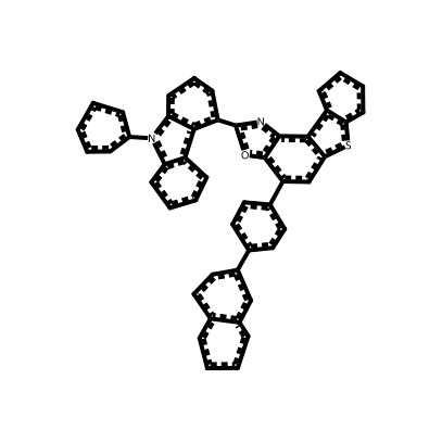 c1ccc(-n2c3ccccc3c3c(-c4nc5c(o4)c(-c4ccc(-c6ccc7ccccc7c6)cc4)cc4sc6ccccc6c45)cccc32)cc1